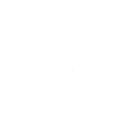 CC(Cl)OC(=O)OC1CCCC1